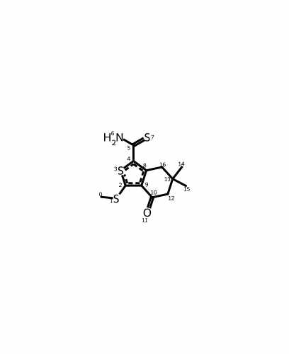 CSc1sc(C(N)=S)c2c1C(=O)CC(C)(C)C2